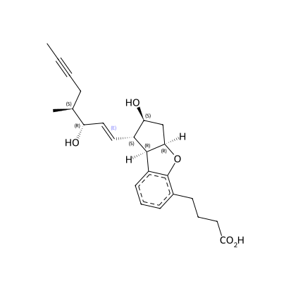 CC#CC[C@H](C)[C@@H](O)/C=C/[C@H]1[C@@H]2c3cccc(CCCC(=O)O)c3O[C@@H]2C[C@@H]1O